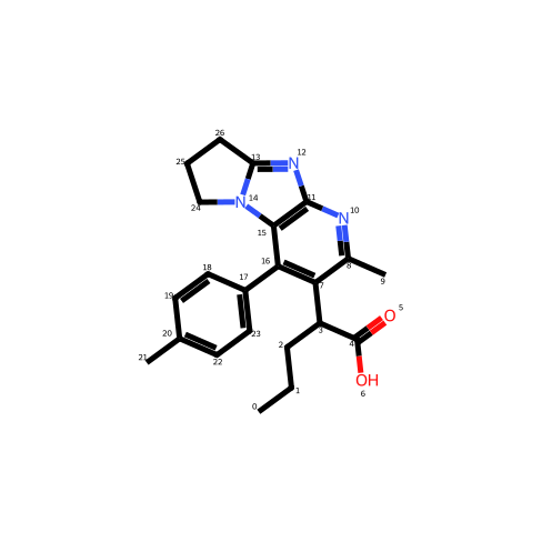 CCCC(C(=O)O)c1c(C)nc2nc3n(c2c1-c1ccc(C)cc1)CCC3